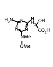 CNc1nc(N)nc(N)n1.COC.O=C(O)CO